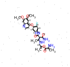 COc1cc2nccc(Oc3ccc(NC(=O)/C(C(N)=O)=C(\C)NC[C@@H](C)OC(=O)[C@H](C)N)cc3F)c2cc1OC